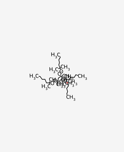 CCCCCC(C)(C)OOC(C)(CC(C)(OOC(C)(C)CCCCC)OOC(C)(C)CCCCC)OOC(C)(C)CCCCC